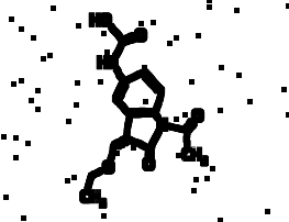 CCOC=C1C(=O)N(C(C)=O)c2ccc(NC(=O)O)cc21